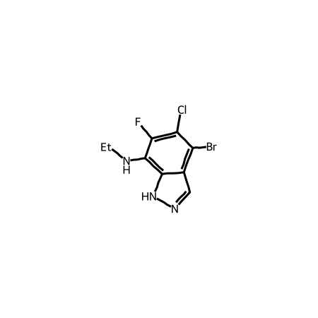 CCNc1c(F)c(Cl)c(Br)c2cn[nH]c12